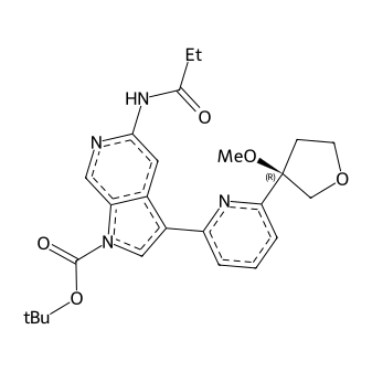 CCC(=O)Nc1cc2c(-c3cccc([C@]4(OC)CCOC4)n3)cn(C(=O)OC(C)(C)C)c2cn1